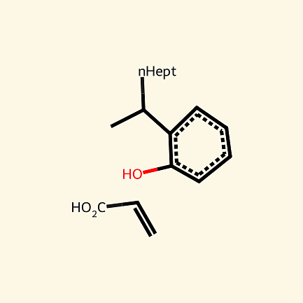 C=CC(=O)O.CCCCCCCC(C)c1ccccc1O